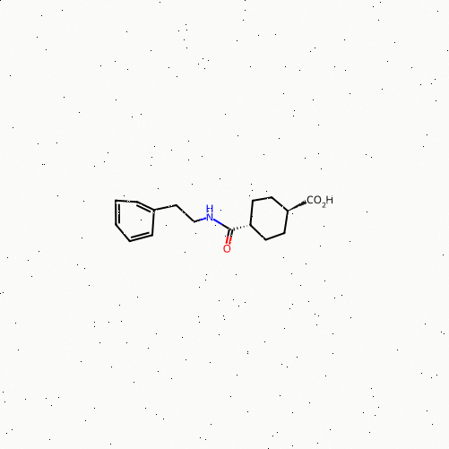 O=C(O)[C@H]1CC[C@H](C(=O)NCCc2ccccc2)CC1